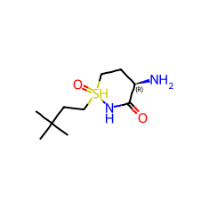 CC(C)(C)CC[SH]1(=O)CC[C@@H](N)C(=O)N1